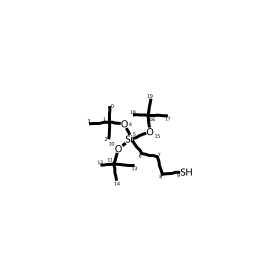 CC(C)(C)O[Si](CCCS)(OC(C)(C)C)OC(C)(C)C